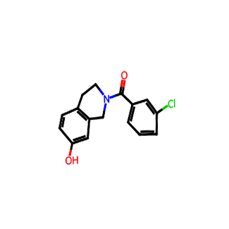 O=C(c1cccc(Cl)c1)N1CCc2ccc(O)cc2C1